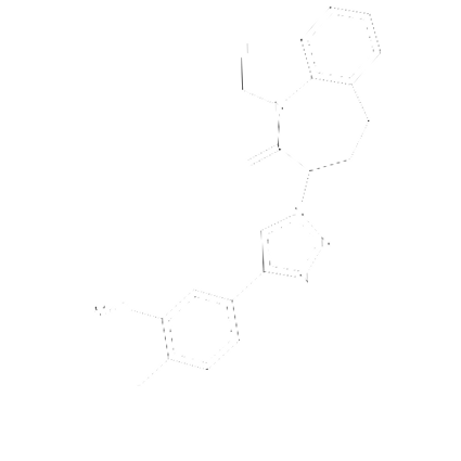 COc1cc(-c2cn(C3CCc4ccccc4N(CC(F)(F)F)C3=O)nn2)ccc1I